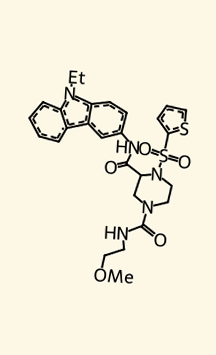 CCn1c2ccccc2c2cc(NC(=O)C3CN(C(=O)NCCOC)CCN3S(=O)(=O)c3cccs3)ccc21